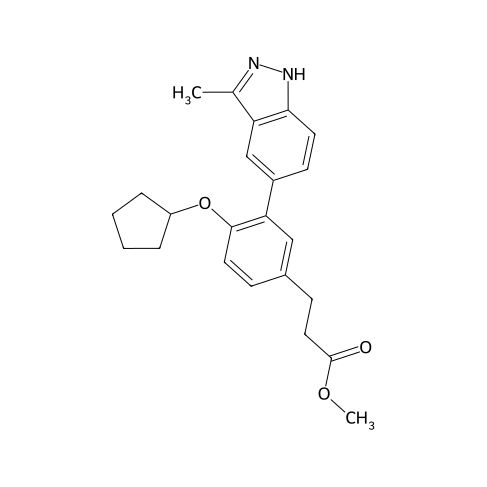 COC(=O)CCc1ccc(OC2CCCC2)c(-c2ccc3[nH]nc(C)c3c2)c1